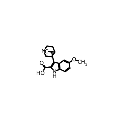 COc1ccc2[nH]c(C(=O)O)c(C3CN4CCC3CC4)c2c1